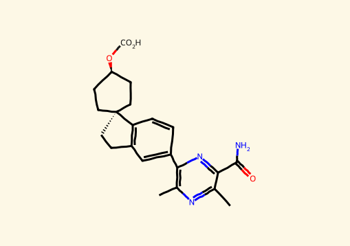 Cc1nc(C)c(-c2ccc3c(c2)CC[C@]32CC[C@H](OC(=O)O)CC2)nc1C(N)=O